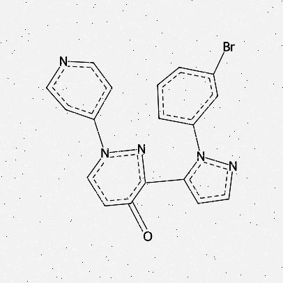 O=c1ccn(-c2ccncc2)nc1-c1ccnn1-c1cccc(Br)c1